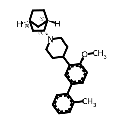 COc1ccc(-c2ccccc2C)cc1C1CCN([C@@H]2C[C@H]3CC[C@H]2C3)CC1